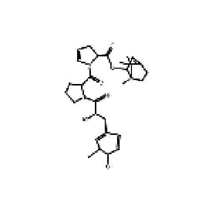 CC1C=C(CC(O)C(=N)N2CSCC2C(=O)N2C=CCC2C(=O)OC2C=C3CC[C@@]2(C)C3(C)C)C=CC1O